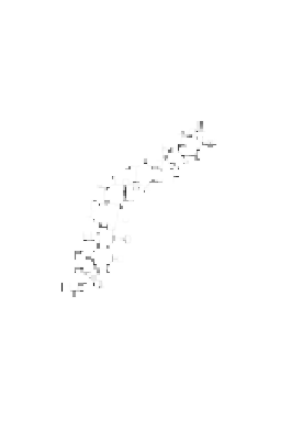 CCc1c(C(=O)N2CCOc3ccc(-c4ccc(-c5nc6cc(F)c(F)cc6[nH]5)cc4)cc3C2)ccc(S(C)(=O)=O)c1F